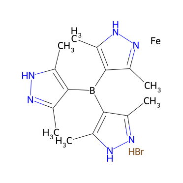 Br.Cc1n[nH]c(C)c1B(c1c(C)n[nH]c1C)c1c(C)n[nH]c1C.[Fe]